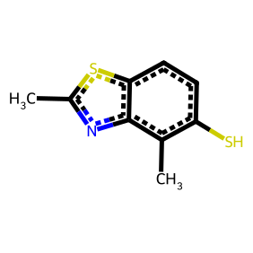 Cc1nc2c(C)c(S)ccc2s1